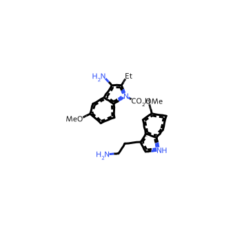 CCc1c(N)c2cc(OC)ccc2n1C(=O)O.COc1ccc2[nH]cc(CCN)c2c1